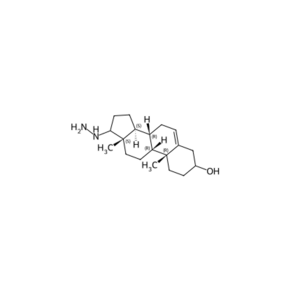 C[C@]12CCC(O)CC1=CC[C@@H]1[C@H]2CC[C@]2(C)C(NN)CC[C@@H]12